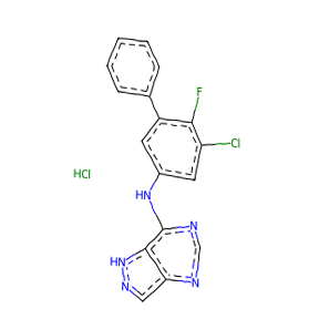 Cl.Fc1c(Cl)cc(Nc2ncnc3cn[nH]c23)cc1-c1ccccc1